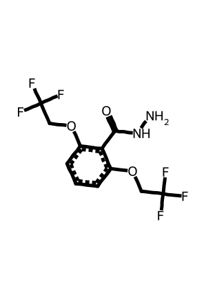 NNC(=O)c1c(OCC(F)(F)F)cccc1OCC(F)(F)F